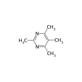 Cc1nc(C)c(C)c(C)n1